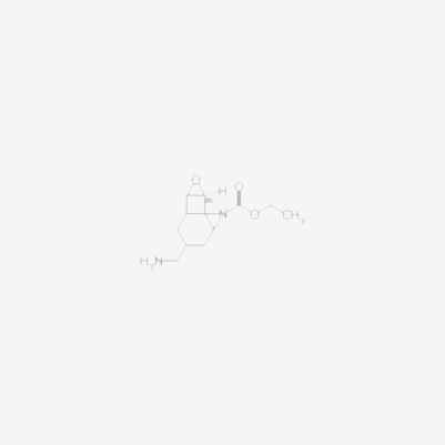 CCOC(=O)N1C2CC(CN)CC3C4O[C@H]4C321